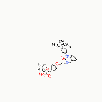 COC(C)(Cc1ccc(OCCCN(Cc2ccccc2)C(=O)Nc2ccc(C(C)(C)C)cc2)cc1)C(=O)O